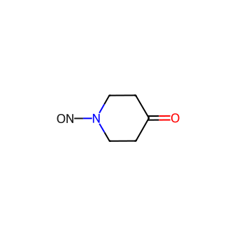 O=NN1CCC(=O)CC1